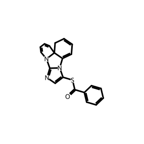 O=C(Sc1cnc2n1C1=CC=CCC13C=CC=CN23)c1ccccc1